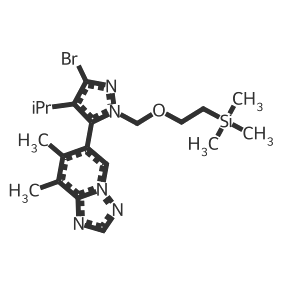 Cc1c(-c2c(C(C)C)c(Br)nn2COCC[Si](C)(C)C)cn2ncnc2c1C